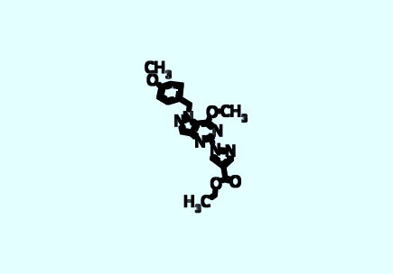 CCOC(=O)c1cnn(-c2nc(OC)c3c(cnn3Cc3ccc(OC)cc3)n2)c1